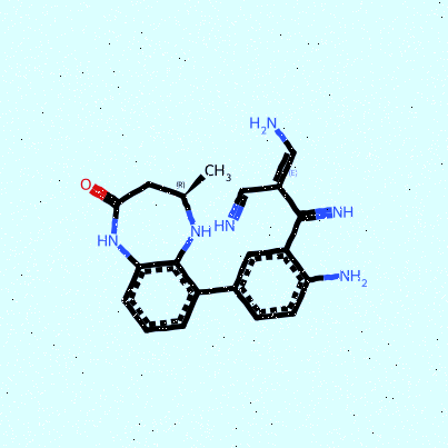 C[C@@H]1CC(=O)Nc2cccc(-c3ccc(N)c(C(=N)/C(C=N)=C/N)c3)c2N1